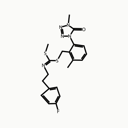 CSC(=NCCc1ccc(F)cc1)SCc1c(C)cccc1-n1nnn(C)c1=O